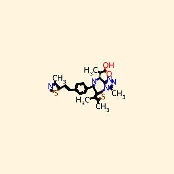 Cc1ncsc1C=Cc1ccc(C2=N[C@@H](C(C)C(=O)O)c3nnc(C)n3-c3sc(C)c(C)c32)cc1